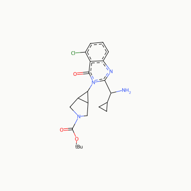 CC(C)(C)OC(=O)N1CC2C(C1)C2n1c(C(N)C2CC2)nc2cccc(Cl)c2c1=O